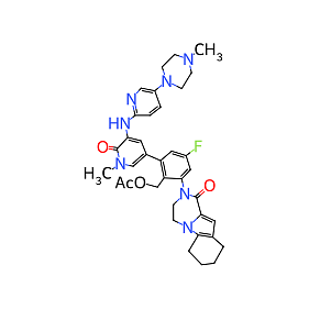 CC(=O)OCc1c(-c2cc(Nc3ccc(N4CCN(C)CC4)cn3)c(=O)n(C)c2)cc(F)cc1N1CCn2c(cc3c2CCCC3)C1=O